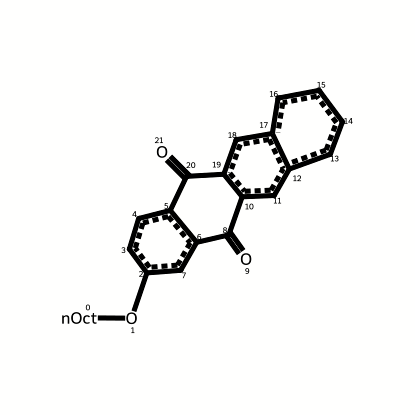 CCCCCCCCOc1ccc2c(c1)C(=O)c1cc3ccccc3cc1C2=O